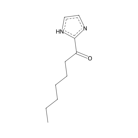 CCCCCCC(=O)c1ncc[nH]1